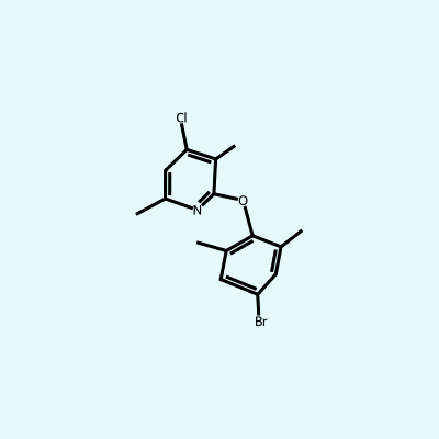 Cc1cc(Cl)c(C)c(Oc2c(C)cc(Br)cc2C)n1